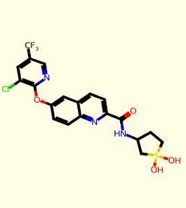 O=C(NC1CCS(O)(O)C1)c1ccc2cc(Oc3ncc(C(F)(F)F)cc3Cl)ccc2n1